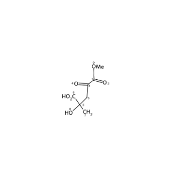 COC(=O)C(=O)CC(C)(O)C(=O)O